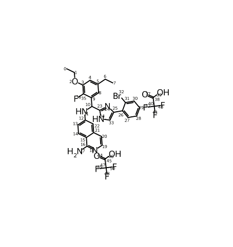 CCOc1cc(CC)cc(C(Nc2ccc3c(N)nccc3c2)c2nc(-c3ccccc3Br)c[nH]2)c1F.O=C(O)C(F)(F)F.O=C(O)C(F)(F)F